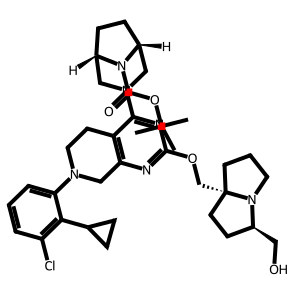 CC(C)(C)OC(=O)N1[C@@H]2CC[C@H]1CN(c1nc(OC[C@]34CCCN3[C@@H](CO)CC4)nc3c1CCN(c1cccc(Cl)c1C1CC1)C3)C2